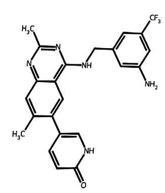 Cc1nc(NCc2cc(N)cc(C(F)(F)F)c2)c2cc(-c3ccc(=O)[nH]c3)c(C)cc2n1